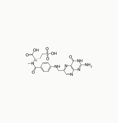 CN(C(=O)c1ccc(NCc2cnc3nc(N)[nH]c(=O)c3n2)cc1)[C@@H](CCS(=O)(=O)O)C(=O)O